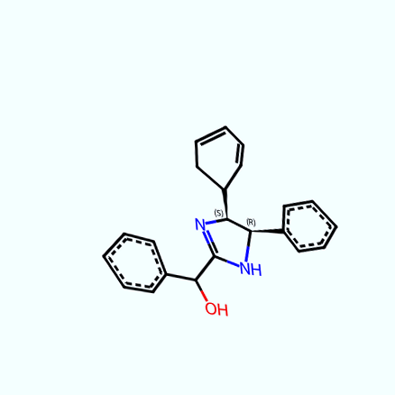 OC(C1=N[C@@H](C2C=CC=CC2)[C@@H](c2ccccc2)N1)c1ccccc1